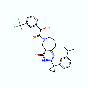 CC(C)c1cccc(C2(c3nc4c(c(=O)[nH]3)CN(C(=O)C(O)c3cccc(C(F)(F)F)c3)CCC4)CC2)c1